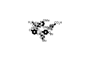 CC(C)Oc1cc(-n2nc(C(C)(C)C)oc2=O)c(Cl)cc1Cl.COc1cc(OC)n2nc(S(=O)(=O)Nc3c(Cl)ccc(C)c3Cl)nc2n1.C[S+](C)C.O=C(O)CNCP(=O)([O-])O